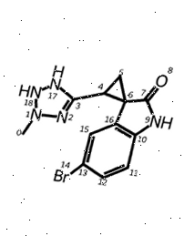 CN1N=C(C2CC23C(=O)Nc2ccc(Br)cc23)NN1